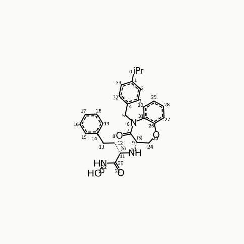 CC(C)c1ccc(CN2C(=O)[C@@H](N[C@@H](CCc3ccccc3)C(=O)NO)COc3ccccc32)cc1